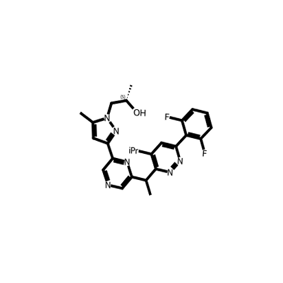 Cc1cc(-c2cncc(C(C)c3nnc(-c4c(F)cccc4F)cc3C(C)C)n2)nn1C[C@H](C)O